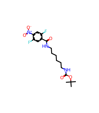 CC(C)(C)OC(=O)NCCCCCCNC(=O)c1cc(F)c([N+](=O)[O-])cc1F